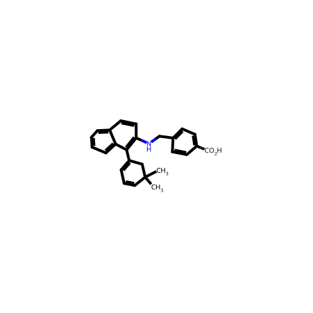 CC1(C)C=CC=C(c2c(NCc3ccc(C(=O)O)cc3)ccc3ccccc23)C1